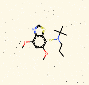 CCCN(S)C(C)(C)C.COc1cc(OC)c2ncsc2c1